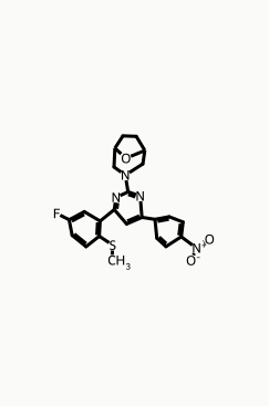 CSc1ccc(F)cc1-c1cc(-c2ccc([N+](=O)[O-])cc2)nc(N2CC3CCC(C2)O3)n1